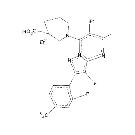 CC[C@]1(C(=O)O)CCCN(c2c(C(C)C)c(C)nc3c(F)c(-c4ccc(C(F)(F)F)cc4F)nn23)C1